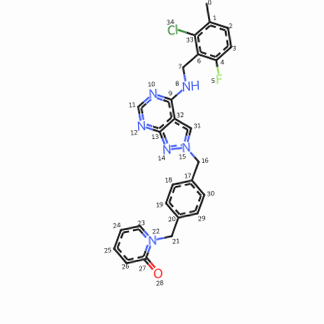 Cc1ccc(F)c(CNc2ncnc3nn(Cc4ccc(Cn5ccccc5=O)cc4)cc23)c1Cl